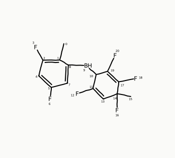 Cc1c(F)cc(F)cc1BC1C(F)=CC(C)(F)C(F)=C1F